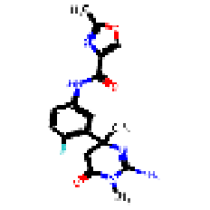 Cc1nc(C(=O)Nc2ccc(F)c(C3(C)CC(=O)N(C)C(N)=N3)c2)co1